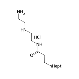 CCCCCCCCCC(=O)NCCNCCN.Cl